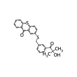 CC(C)(O)C(=O)c1cccc(CSc2ccc3sc4ccccc4c(=O)c3c2)c1